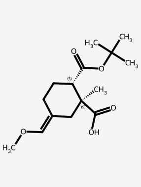 COC=C1CC[C@H](C(=O)OC(C)(C)C)[C@@](C)(C(=O)O)C1